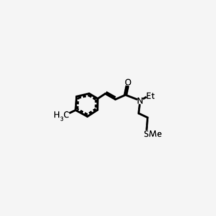 CCN(CCSC)C(=O)/C=C/c1ccc(C)cc1